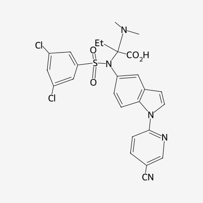 CCC(C(=O)O)(N(C)C)N(c1ccc2c(ccn2-c2ccc(C#N)cn2)c1)S(=O)(=O)c1cc(Cl)cc(Cl)c1